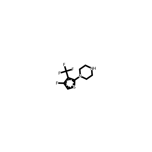 Fc1csc(N2CCNCC2)c1C(F)(F)F